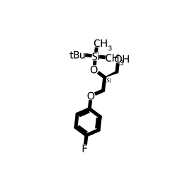 CC(C)(C)[Si](C)(C)O[C@@H](CO)COc1ccc(F)cc1